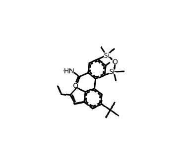 CCC1=Cc2cc(C(C)(C)C)cc(-c3c(C([NH])=O)cc4c(C)c3[Si](C)(C)O[Si]4(C)C)c2C1